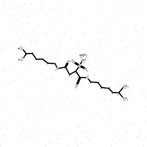 CC(C)CCCCCOC(=O)CC(C(=O)OCCCCCC(C)C)S(=O)(=O)O.[MgH2]